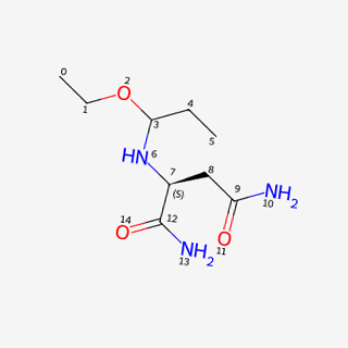 CCOC(CC)N[C@@H](CC(N)=O)C(N)=O